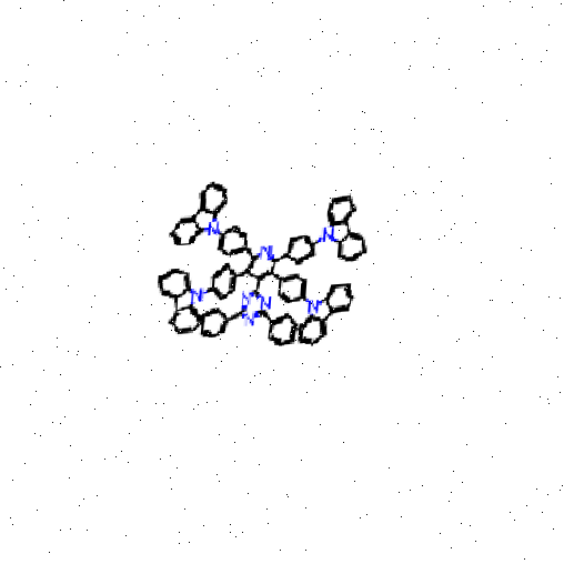 c1ccc(-c2nc(-c3ccccc3)nc(-c3c(-c4ccc(-n5c6ccccc6c6ccccc65)cc4)c(-c4ccc(-n5c6ccccc6c6ccccc65)cc4)nc(-c4ccc(-n5c6ccccc6c6ccccc65)cc4)c3-c3ccc(-n4c5ccccc5c5ccccc54)cc3)n2)cc1